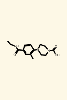 CCNC(=O)c1ccc(N2CCN(C(=O)O)CC2)c(C)c1